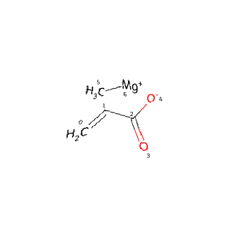 C=CC(=O)[O-].[CH3][Mg+]